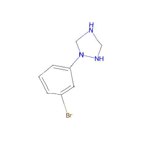 Brc1cccc(N2CNCN2)c1